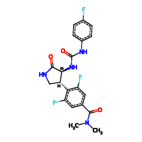 CN(C)C(=O)c1cc(F)c([C@@H]2CNC(=O)[C@H]2NC(=O)Nc2ccc(F)cc2)c(F)c1